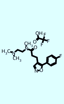 CN(C)CCN(C)C(=O)CCc1cnoc1-c1ccc(F)cc1.O=C(O)C(F)(F)F